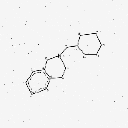 c1ccc2c(c1)CCN(CC1CCCCC1)C2